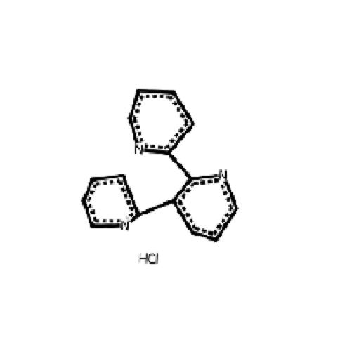 Cl.c1ccc(-c2cccnc2-c2ccccn2)nc1